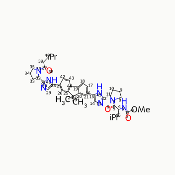 COC(=O)N[C@H](C(=O)N1CCC[C@H]1c1ncc(-c2ccc3c(c2)C(C)(C)c2cc(-c4cnc([C@@H]5CCCN5C(=O)CC(C)C)[nH]4)ccc2-3)[nH]1)C(C)C